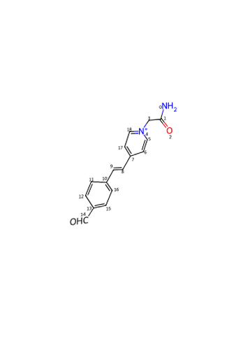 NC(=O)C[n+]1ccc(C=Cc2ccc(C=O)cc2)cc1